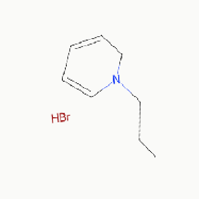 Br.CCCN1C=CC=CC1